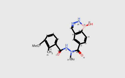 COc1cccc(C(=O)NN(C(=O)c2ccc3c(c2)C=NNB3O)C(C)(C)C)c1C